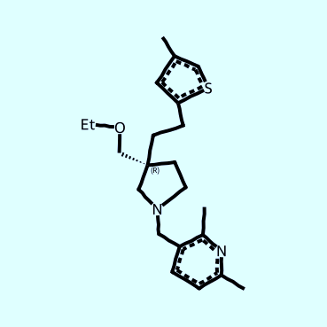 CCOC[C@]1(CCc2cc(C)cs2)CCN(Cc2ccc(C)nc2C)C1